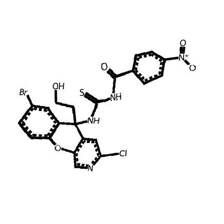 O=C(NC(=S)NC1(CCO)c2cc(Br)ccc2Oc2cnc(Cl)cc21)c1ccc([N+](=O)[O-])cc1